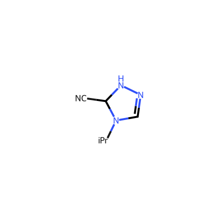 CC(C)N1C=NNC1C#N